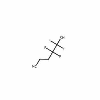 N#CCCC(F)(F)C(F)(F)C#N